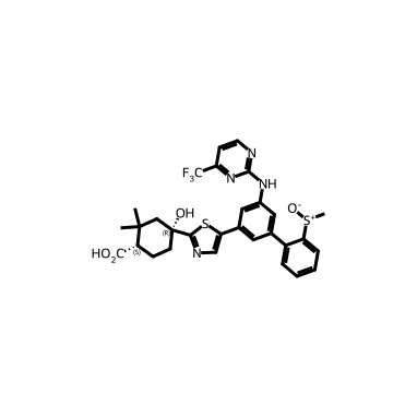 C[S+]([O-])c1ccccc1-c1cc(Nc2nccc(C(F)(F)F)n2)cc(-c2cnc([C@@]3(O)CC[C@H](C(=O)O)C(C)(C)C3)s2)c1